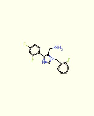 NCc1c(-c2ccc(F)cc2F)ncn1Cc1ccccc1F